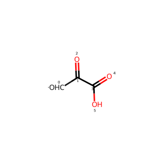 O=[C]C(=O)C(=O)O